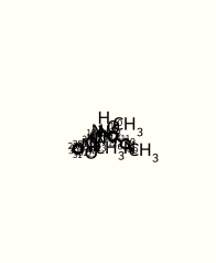 COc1cc(C2CCN(C)CC2)ccc1Nc1ncc2c(n1)N(C)C(=O)N(c1ccccc1)C2